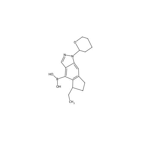 CCC1CCc2cc3c(cnn3C3CCCCO3)c(B(O)O)c21